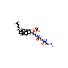 CC(C)CCC[C@@H](C)C1CC[C@H]2[C@H]3CC=C4C[C@@H](N(CCCNC(=O)CCNC(=O)CCN)C(=O)OC(C)(C)C)CCC4(C)C3CCC12C